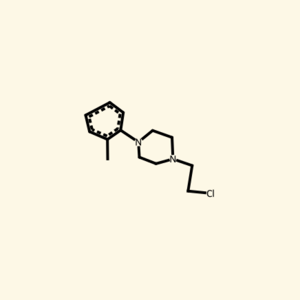 Cc1ccccc1N1CCN(CCCl)CC1